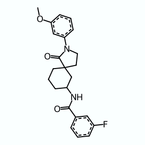 COc1cccc(N2CCC3(CCCC(NC(=O)c4cccc(F)c4)C3)C2=O)c1